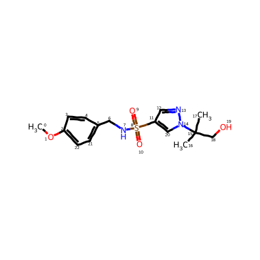 COc1ccc(CNS(=O)(=O)c2cnn(C(C)(C)CO)c2)cc1